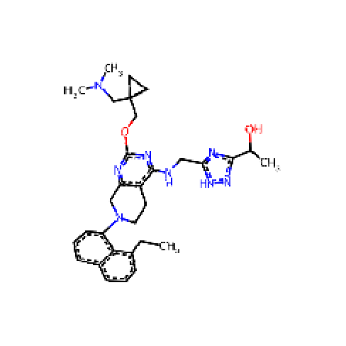 CCc1cccc2cccc(N3CCc4c(nc(OCC5(CN(C)C)CC5)nc4NCc4nc(C(C)O)n[nH]4)C3)c12